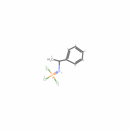 CC(N=P(Cl)(Cl)Cl)c1ccccc1